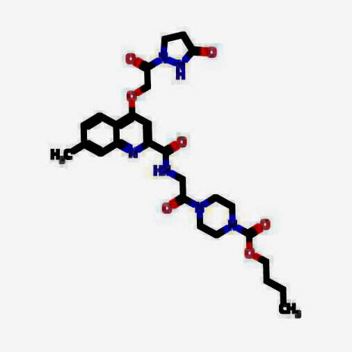 CCCCOC(=O)N1CCN(C(=O)CNC(=O)c2cc(OCC(=O)N3CCC(=O)N3)c3ccc(C)cc3n2)CC1